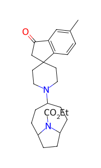 CCOC(=O)N1C2CCC(N3CCC4(CC3)CC(=O)c3cc(C)ccc34)CCC1CC2